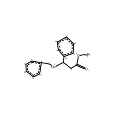 CCCOC(=O)CC(NCc1ccccc1)c1ccccc1